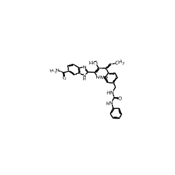 CC=C(/C(O)=C(\NC)c1nc2ccc(C(N)=O)cc2[nH]1)c1ccc(CNC(=O)Nc2ccccc2)cc1